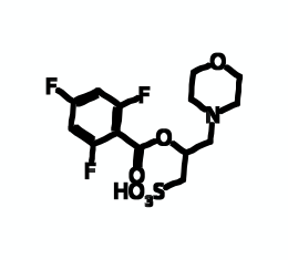 O=C(OC(CN1CCOCC1)CS(=O)(=O)O)c1c(F)cc(F)cc1F